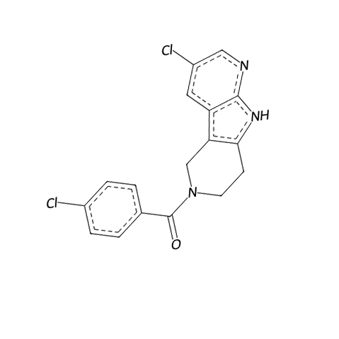 O=C(c1ccc(Cl)cc1)N1CCc2[nH]c3ncc(Cl)cc3c2C1